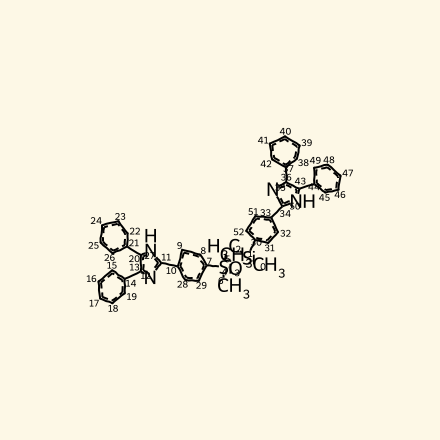 C[Si](C)(O[Si](C)(C)c1ccc(-c2nc(-c3ccccc3)c(-c3ccccc3)[nH]2)cc1)c1ccc(-c2nc(-c3ccccc3)c(-c3ccccc3)[nH]2)cc1